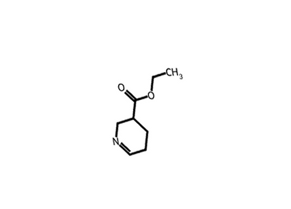 CCOC(=O)C1CCC=NC1